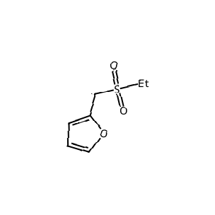 CCS(=O)(=O)[CH]c1ccco1